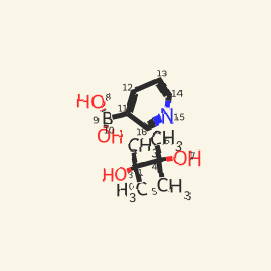 CC(C)(O)C(C)(C)O.OB(O)c1cccnc1